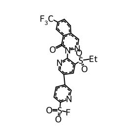 CCS(=O)(=O)c1cc(-c2ccc(S(=O)(=O)F)nc2)cnc1-n1ncc2ccc(C(F)(F)F)cc2c1=O